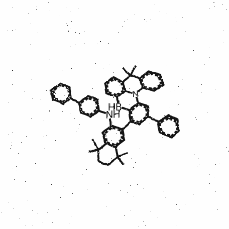 CC1(C)CCC(C)(C)c2cc(-c3cc(-c4ccccc4)cc4c3Bc3cccc5c3N4c3ccccc3C5(C)C)c(Nc3ccc(-c4ccccc4)cc3)cc21